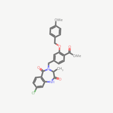 COC(=O)c1ccc(CN2C(=O)c3ccc(Cl)cc3NC(=O)C2C)cc1OCc1ccc(OC)cc1